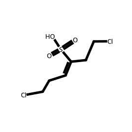 O=S(=O)(O)/C(=C\CCCl)CCCl